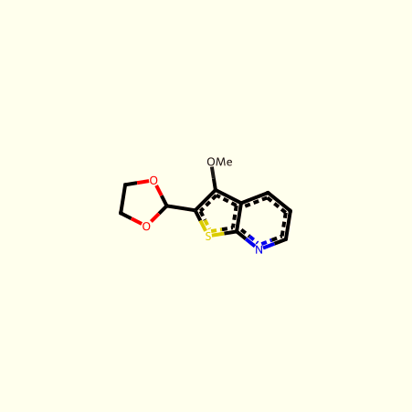 COc1c(C2OCCO2)sc2ncccc12